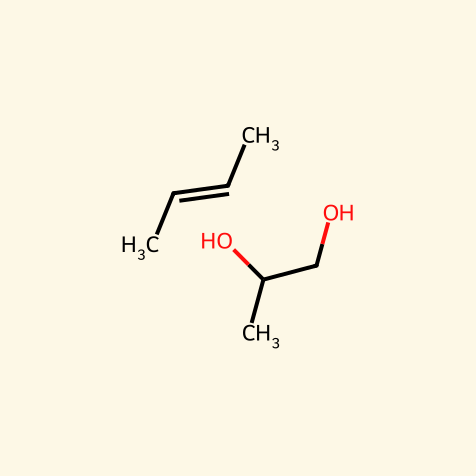 CC(O)CO.CC=CC